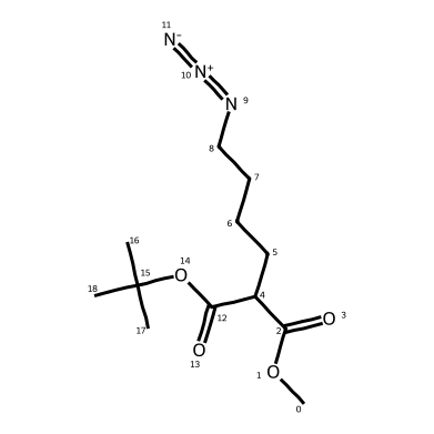 COC(=O)C(CCCCN=[N+]=[N-])C(=O)OC(C)(C)C